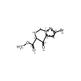 COC(=O)C1SCn2nc(Br)cc2C1=O